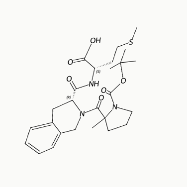 CSCC[C@H](NC(=O)[C@H]1Cc2ccccc2CN1C(=O)C1(C)CCCN1C(=O)OC(C)(C)C)C(=O)O